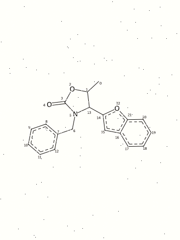 CC1OC(=O)N(Cc2ccccc2)C1c1cc2ccccc2o1